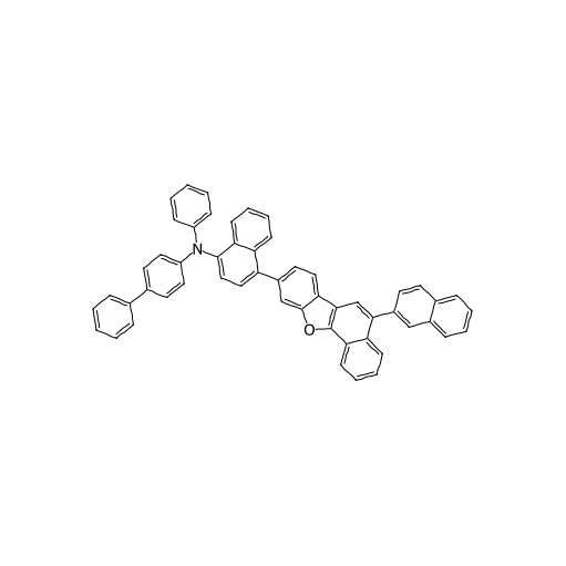 c1ccc(-c2ccc(N(c3ccccc3)c3ccc(-c4ccc5c(c4)oc4c6ccccc6c(-c6ccc7ccccc7c6)cc54)c4ccccc34)cc2)cc1